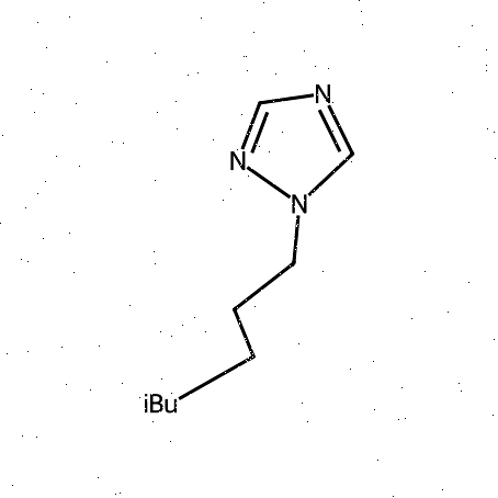 CCC(C)CCCn1cncn1